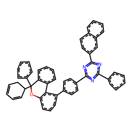 C1=CCC(C2(c3ccccc3)Oc3cccc(-c4ccc(-c5nc(-c6ccccc6)nc(-c6ccc7ccccc7c6)n5)cc4)c3-c3ccccc32)C=C1